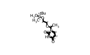 CC(OCCO[Si](C)(C)C(C)(C)C)n1ccc(=O)[nH]c1=O